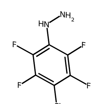 NNc1c(F)c(F)c(Cl)c(F)c1F